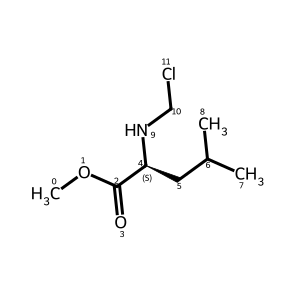 COC(=O)[C@H](CC(C)C)NCCl